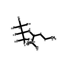 CCCC(OC(F)(C(F)(F)F)C(F)(F)F)[SiH](Cl)Cl